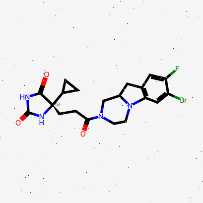 O=C1NC(=O)[C@](CCC(=O)N2CCN3c4cc(Br)c(F)cc4CC3C2)(C2CC2)N1